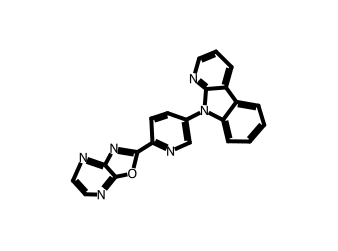 c1ccc2c(c1)c1cccnc1n2-c1ccc(-c2nc3nccnc3o2)nc1